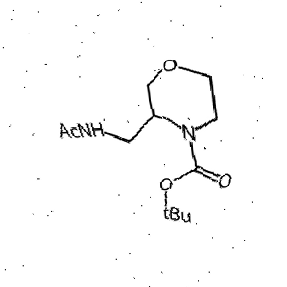 CC(=O)NCC1COCCN1C(=O)OC(C)(C)C